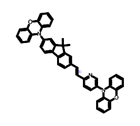 CC1(C)c2cc(/C=C/c3ccc(N4c5ccccc5Oc5ccccc54)cn3)ccc2-c2ccc(N3c4ccccc4Oc4ccccc43)cc21